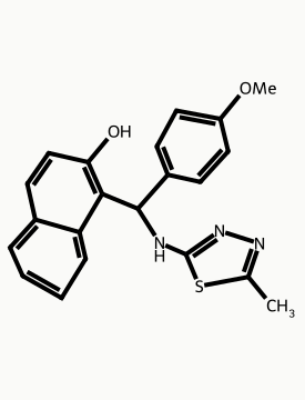 COc1ccc(C(Nc2nnc(C)s2)c2c(O)ccc3ccccc23)cc1